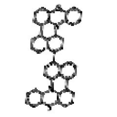 c1ccc2c(c1)sc1cccc3c1-n2c1ccc(-c2ccc4c5c2cccc5c2cccc5sc6ccccc6n4-c52)c2cccc3c21